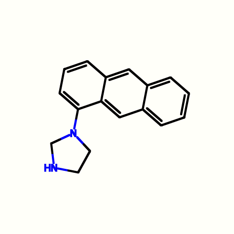 c1ccc2cc3c(N4CCNC4)cccc3cc2c1